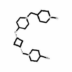 CCC(C)C1CCN(C[C@H]2C[C@@H](OC3CCN(CC4CCN(CC)CC4)CC3)C2)CC1